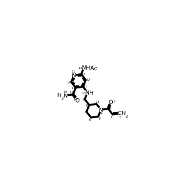 C=CC(=O)N1CCCC(CNc2cc(NC(C)=O)ncc2C(N)=O)C1